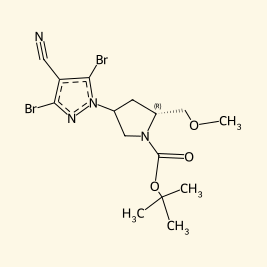 COC[C@H]1CC(n2nc(Br)c(C#N)c2Br)CN1C(=O)OC(C)(C)C